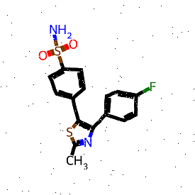 Cc1nc(-c2ccc(F)cc2)c(-c2ccc(S(N)(=O)=O)cc2)s1